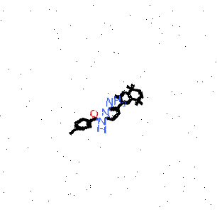 Cc1ccc(C(=O)Nc2ccc(-c3cc4c(cc3C)C(C)(C)CCC4(C)C)c(N)n2)cc1